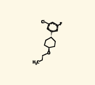 CCCO[C@H]1CC[C@H](c2cc(F)cc(Cl)c2)CC1